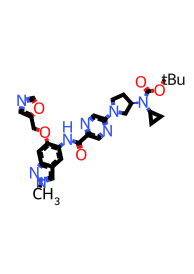 Cn1cc2cc(NC(=O)c3cnc(N4CC[C@@H](N(C(=O)OC(C)(C)C)C5CC5)C4)cn3)c(OCc3cnco3)cc2n1